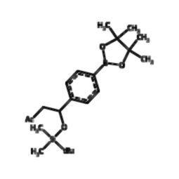 CC(=O)CC(O[Si](C)(C)C(C)(C)C)c1ccc(B2OC(C)(C)C(C)(C)O2)cc1